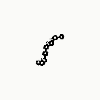 c1ccc(-c2ccc3oc4c(ccc5c6cc(-c7ccc(-c8ccc9ccc%10cccnc%10c9n8)cc7)ccc6oc54)c3c2)cc1